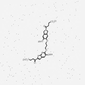 CCOC(=O)CCC(=O)c1cc2cc(OC)c(OCCCOc3cc4c(cc3OC)CN(C(=O)CCC(=O)OCC)C4)nc2s1